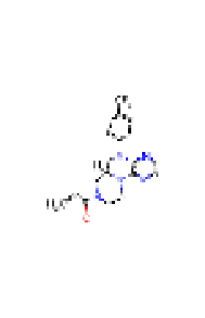 C=CC(=O)N1CCN2c3nccnc3N(c3ccc(C(F)(F)F)cc3)C[C@@H]2C1